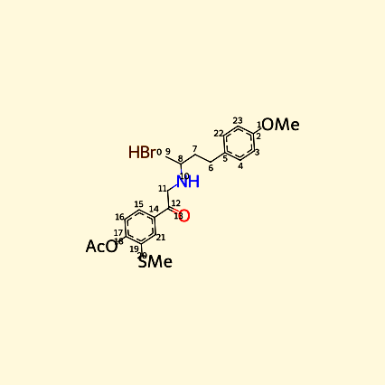 Br.COc1ccc(CCC(C)NCC(=O)c2ccc(OC(C)=O)c(SC)c2)cc1